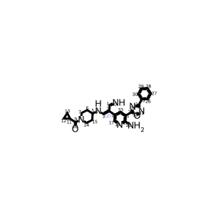 N=C/C(=C\NC1CCN(C(=O)C2CC2)CC1)c1cnc(N)c(-c2nc(-c3ccccc3)no2)c1